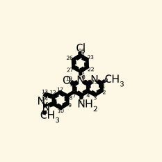 Cc1ccc2c(N)c(-c3ccc4c(cnn4C)c3)c(=O)n(-c3ccc(Cl)cc3)c2n1